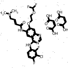 CN(C)C/C=C/C(=O)Nc1cc2c(Nc3ccc(F)c(Cl)c3F)ncnc2cc1OCCOC(F)F.O=C(O)/C=C\C(=O)O.O=C(O)/C=C\C(=O)O